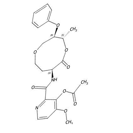 COc1ccnc(C(=O)N[C@H]2CCOC[C@@H](Oc3ccccc3)[C@H](C)OC2=O)c1OC(C)=O